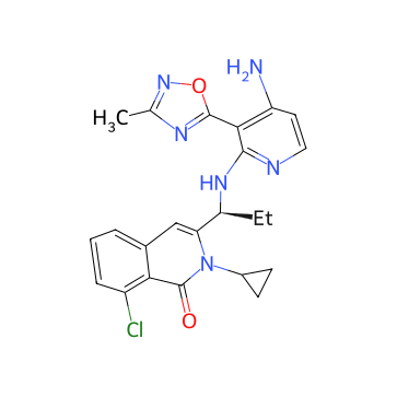 CC[C@H](Nc1nccc(N)c1-c1nc(C)no1)c1cc2cccc(Cl)c2c(=O)n1C1CC1